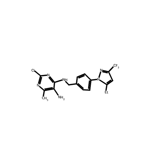 CCc1cc(C(F)(F)F)nn1-c1ccc(CNc2nc(Cl)nc(C)c2N)cc1